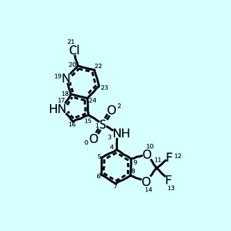 O=S(=O)(Nc1cccc2c1OC(F)(F)O2)c1c[nH]c2nc(Cl)ccc12